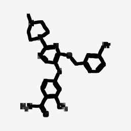 CC(C)c1cccc(COc2nc(N3CCN(C)CC3)ncc2Sc2ccc(C(N)=O)c(C(F)(F)F)c2)c1